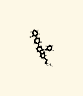 C/C=C/c1ccc2c3ccc(-c4ccc(-c5ccccc5Br)cc4)cc3n(-c3ccccc3)c2c1